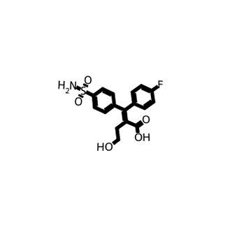 NS(=O)(=O)c1ccc(/C(=C(\CCO)C(=O)O)c2ccc(F)cc2)cc1